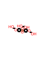 O=S(=O)(c1ccc(OCCO)cc1)c1ccc(OCCO)cc1.OCCO